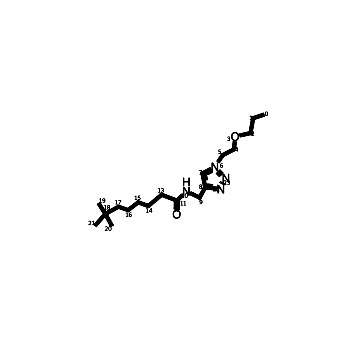 CCCOCCn1cc(CNC(=O)CCCCCC(C)(C)C)nn1